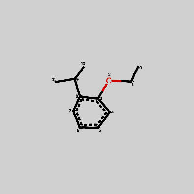 C[CH]Oc1ccccc1C(C)C